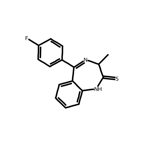 CC1N=C(c2ccc(F)cc2)c2ccccc2NC1=S